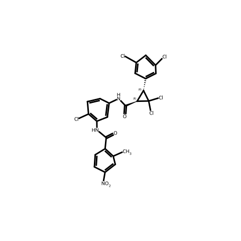 Cc1cc([N+](=O)[O-])ccc1C(=O)Nc1cc(NC(=O)[C@H]2[C@H](c3cc(Cl)cc(Cl)c3)C2(Cl)Cl)ccc1Cl